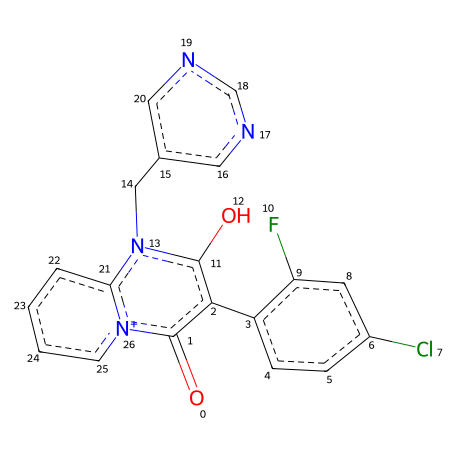 O=c1c(-c2ccc(Cl)cc2F)c(O)n(Cc2cncnc2)c2cccc[n+]12